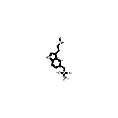 CNCCc1c[nH]c2ccc(CS(N)(=O)=O)cc12